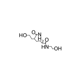 NC(=O)C(CCO)CCCC(=O)NCCO